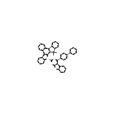 CC1(C)c2ccccc2-c2c1c1c(c3ccccc23)c2ccccc2n1-c1nc(-c2ccc(-c3ccccc3)cc2)c2c(n1)sc1ccccc12